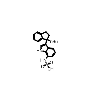 CCCCC1(c2c[nH]c3c(NS(C)(=O)=O)cccc23)CCc2ccccc21